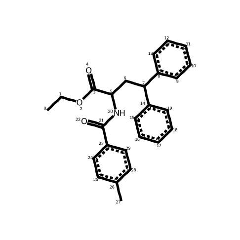 CCOC(=O)C(CC(c1ccccc1)c1ccccc1)NC(=O)c1ccc(C)cc1